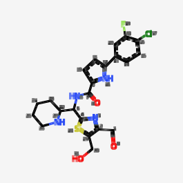 O=Cc1nc(C(NC(=O)c2ccc(-c3ccc(Cl)c(F)c3)[nH]2)C2CCCCN2)sc1CO